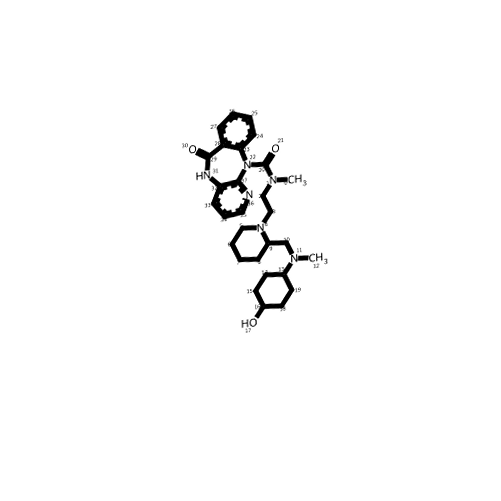 CN(CCN1CCCCC1CN(C)C1CCC(O)CC1)C(=O)N1c2ccccc2C(=O)Nc2cccnc21